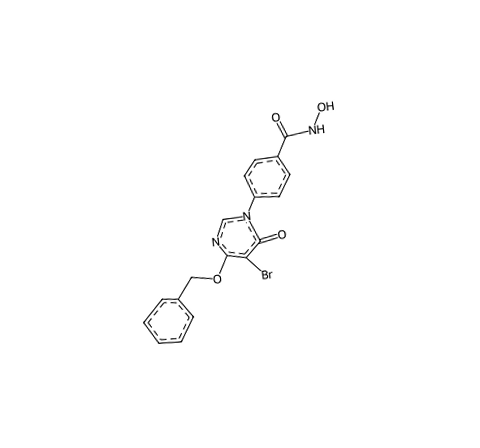 O=C(NO)c1ccc(-n2cnc(OCc3ccccc3)c(Br)c2=O)cc1